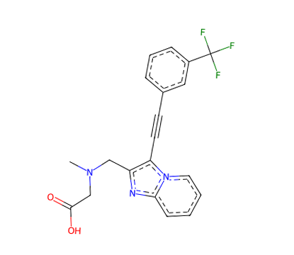 CN(CC(=O)O)Cc1nc2ccccn2c1C#Cc1cccc(C(F)(F)F)c1